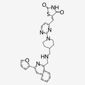 O=C1NC(=O)/C(=C/c2ccnc(N3CCC(CNCc4nc(-c5ccco5)cc5ccccc45)CC3)n2)S1